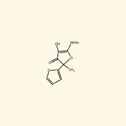 CC(=O)NC1=C(O)C(=O)C(C)(c2ccco2)O1